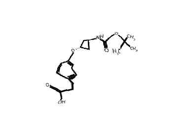 CC(C)(C)OC(=O)N[C@H]1C[C@H](Oc2ccc(CC(=O)O)cc2)C1